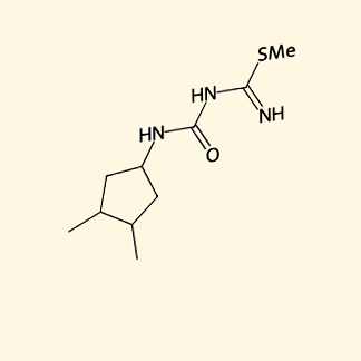 CSC(=N)NC(=O)NC1CC(C)C(C)C1